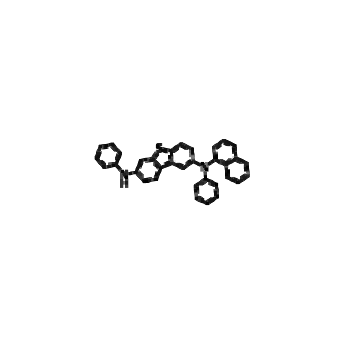 c1ccc(Nc2ccc3c(c2)sc2ccc(N(c4ccccc4)c4cccc5ccccc45)cc23)cc1